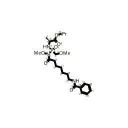 COCP(=O)(N[C@@H](C)C(=O)OC(C)C)N(OC)C(=O)CCCCCCNC(=O)c1ccccc1